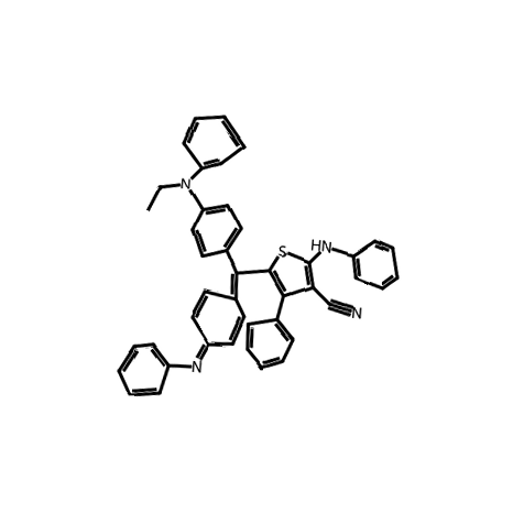 CCN(c1ccccc1)c1ccc(C(=C2C=CC(=Nc3ccccc3)C=C2)c2sc(Nc3ccccc3)c(C#N)c2-c2ccccc2)cc1